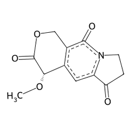 CO[C@@H]1C(=O)OCc2c1cc1n(c2=O)CCC1=O